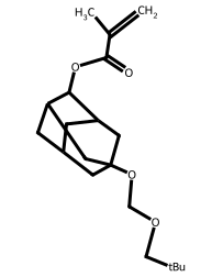 C=C(C)C(=O)OC1C2CC3CC1CC(OCOCC(C)(C)C)(C3)C2